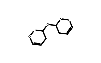 C1=COSC(OC2CC=COS2)C1